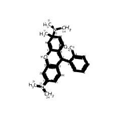 CCOC(=O)c1ccccc1C1=C2C=CC(C)(N(C)C)C=C2Oc2cc(N(C)C)ccc21